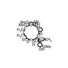 C=CCCC1(C=C(C)C2OC(=O)C3CCCCN3C(=O)C(=O)C3(O)OC(C(OC)CC(C)C/C(C)=C/C(CC)C(=O)CC(O)C2C)C(OC)CC3C)CC[C@H](O)C(OC)C1